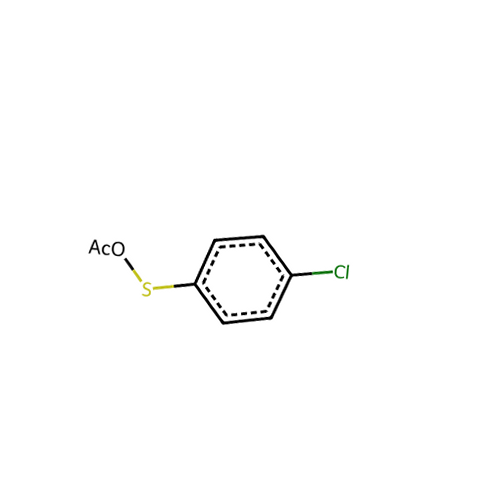 CC(=O)OSc1ccc(Cl)cc1